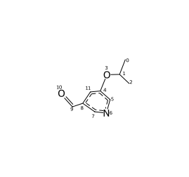 CC(C)Oc1cncc(C=O)c1